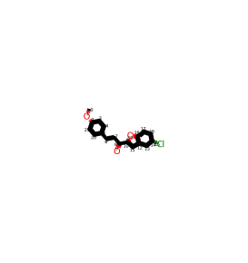 COc1ccc(C=CC(=O)c2cc3cc(Cl)ccc3o2)cc1